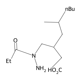 CCCCC(C)CC(CC(=O)O)CN(N)C(=O)CC